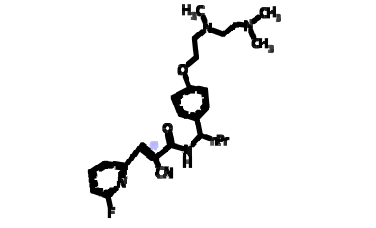 CCCC(NC(=O)/C(C#N)=C/c1cccc(F)n1)c1ccc(OCCN(C)CCN(C)C)cc1